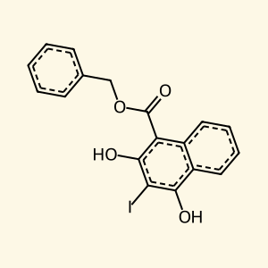 O=C(OCc1ccccc1)c1c(O)c(I)c(O)c2ccccc12